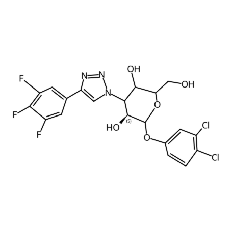 OCC1OC(Oc2ccc(Cl)c(Cl)c2)[C@@H](O)C(n2cc(-c3cc(F)c(F)c(F)c3)nn2)C1O